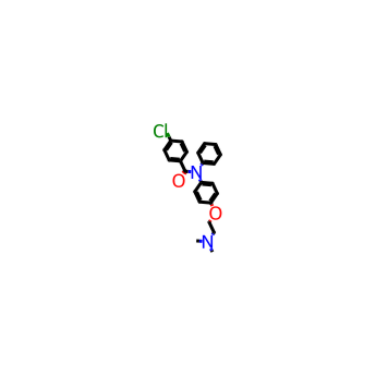 CN(C)CCOc1ccc(N(C(=O)c2ccc(Cl)cc2)c2ccccc2)cc1